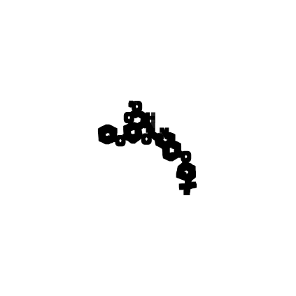 COC(=O)CC(NC(=O)c1cc2ccc(Oc3ccc(C(C)(C)C)cc3)cc2cn1)c1ccc(Oc2ccccc2)cc1